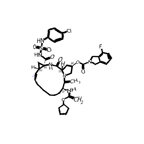 C=C(N[C@H]1CCCCC/C=C\[C@@H]2C[C@@]2(C(=O)NS(=O)(=O)Nc2ccc(Cl)cc2)NC(=O)[C@@H]2C[C@@H](OC(=O)N3Cc4cccc(F)c4C3)CN2C1=C)OC1CCCC1